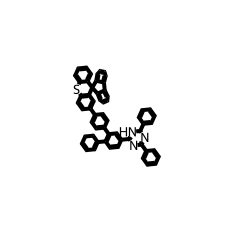 C1=CCCC(c2ccc(C3=NC(c4ccccc4)=NC(c4ccccc4)N3)cc2-c2ccc(-c3ccc4c(c3)C3(c5ccccc5S4)c4ccccc4-c4ccccc43)cc2)=C1